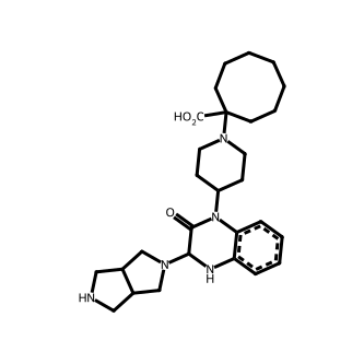 O=C1C(N2CC3CNCC3C2)Nc2ccccc2N1C1CCN(C2(C(=O)O)CCCCCCC2)CC1